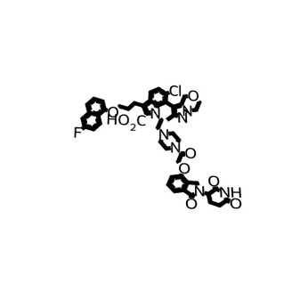 Cc1nn2c(c1-c1c(Cl)ccc3c(CCCOc4cccc5cc(F)ccc45)c(C(=O)O)n(CCN4CCN(C(=O)COc5cccc6c5CN(C5CCC(=O)NC5=O)C6=O)CC4)c13)COCC2